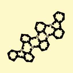 c1ccc2c(c1)c1cccc3c1n2c1cccc2c1n3c1cccc3c1n2c1cccc2c1n3c1cccc3c4ccccc4n2c31